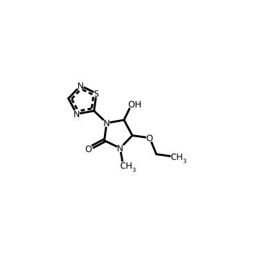 CCOC1C(O)N(c2ncns2)C(=O)N1C